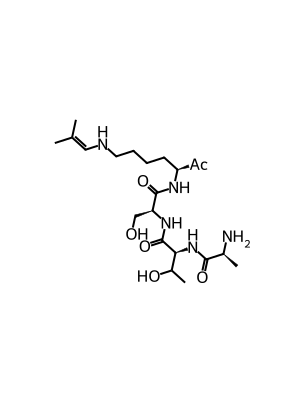 CC(=O)[C@H](CCCCNC=C(C)C)NC(=O)[C@H](CO)NC(=O)[C@@H](NC(=O)[C@H](C)N)C(C)O